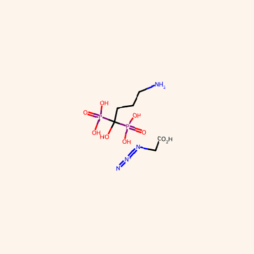 NCCCC(O)(P(=O)(O)O)P(=O)(O)O.[N-]=[N+]=NCC(=O)O